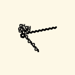 CCCCCCCCCCCCCCCCCCOc1c(OCCOCCOCCOCC)cccc1C(=O)N(CC(=O)O)CC(=O)O